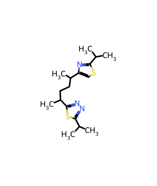 CC(C)c1nc(C(C)CCC(C)c2nnc(C(C)C)s2)cs1